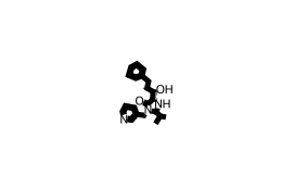 CC(C)C1N[C@@H]([C@H](O)[CH]Cc2ccccc2)C(=O)N1Cc1cccnc1